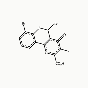 Cc1c(C(=O)O)oc2c(c1=O)C(C(C)C)Sc1c(Br)cccc1-2